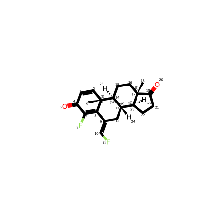 C[C@]12C=CC(=O)C(F)=C1C(=CF)C[C@@H]1[C@@H]2CC[C@]2(C)C(=O)CC[C@@H]12